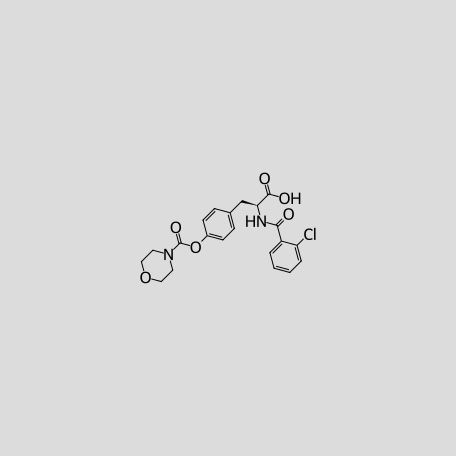 O=C(N[C@@H](Cc1ccc(OC(=O)N2CCOCC2)cc1)C(=O)O)c1ccccc1Cl